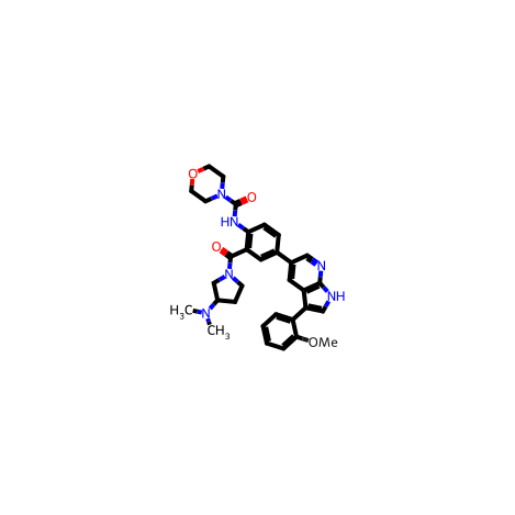 COc1ccccc1-c1c[nH]c2ncc(-c3ccc(NC(=O)N4CCOCC4)c(C(=O)N4CCC(N(C)C)C4)c3)cc12